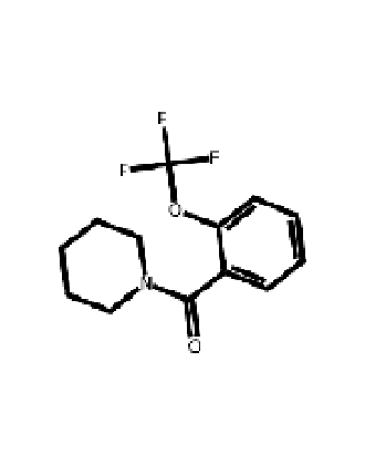 O=C(c1ccccc1OC(F)(F)F)N1CCCCC1